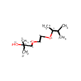 CC(C)C(C)OCCOCC(C)(C)O